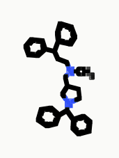 CN(CCC(c1ccccc1)c1ccccc1)CC1CCN(C(c2ccccc2)c2ccccc2)C1